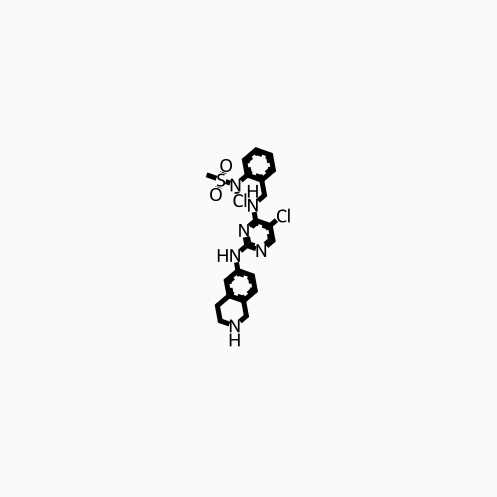 CS(=O)(=O)N(Cl)c1ccccc1CNc1nc(Nc2ccc3c(c2)CCNC3)ncc1Cl